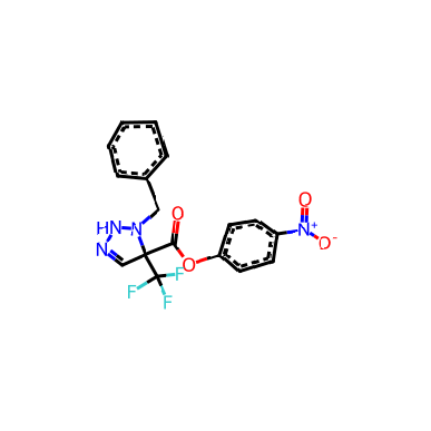 O=C(Oc1ccc([N+](=O)[O-])cc1)C1(C(F)(F)F)C=NNN1Cc1ccccc1